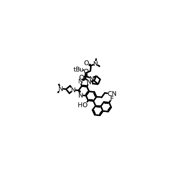 CN(C)C(=O)CCc1nc2c(N3CC(N(C)C)C3)nc3c(O)c(-c4cccc5ccc(F)cc45)c(CCC#N)cc3c2n1C1C2CC1N(C(=O)OC(C)(C)C)C2